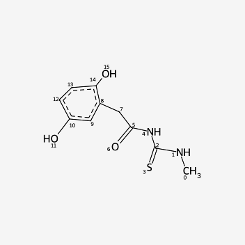 CNC(=S)NC(=O)Cc1cc(O)ccc1O